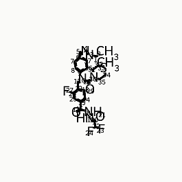 CC(C)n1ncc2ccc(N(Cc3ccc(C(=O)NNC(=O)C(F)F)cc3F)C(=O)N3CCSCC3)cc21